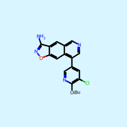 CC(C)COc1ncc(-c2cncc3cc4c(N)noc4cc23)cc1Cl